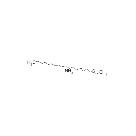 N.[CH2]CSCCCCCCCCCCCCCCCCC